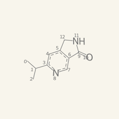 CC(C)c1cc2c(cn1)C(=O)NC2